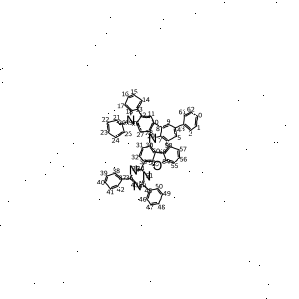 c1ccc(-c2ccc3c(c2)c2cc4c5ccccc5n(-c5ccccc5)c4cc2n3-c2ccc(-c3nc(-c4ccccc4)nc(-c4ccccc4)n3)c3oc4ccccc4c23)cc1